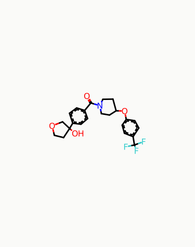 O=C(c1ccc(C2(O)CCOC2)cc1)N1CCC(Oc2ccc(C(F)(F)F)cc2)CC1